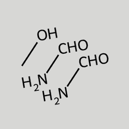 CO.NC=O.NC=O